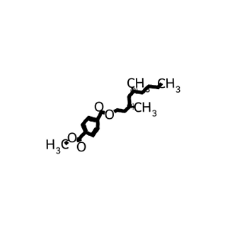 CCCC[C@@H](C)C[C@@H](C)CCOC(=O)c1ccc(C(=O)OC)cc1